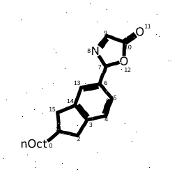 CCCCCCCCC1Cc2ccc(C3N=CC(=O)O3)cc2C1